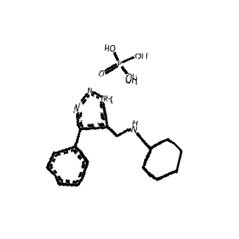 O=P(O)(O)O.c1ccc(-c2nn[nH]c2CNC2CCCCC2)cc1